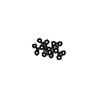 c1ccc(N(c2ccccc2)c2cc3c4c(c2)N2c5ccccc5B5c6ccccc6N6c7cc(-n8c9ccccc9c9ccccc98)cc8c7B(c7cc(c2c5c76)B4c2ccccc2N3c2ccccc2)c2cccc3c4ccccc4n-8c23)cc1